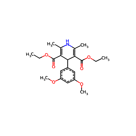 CCOC(=O)C1=C(C)NC(C)=C(C(=O)OCC)C1c1cc(OC)cc(OC)c1